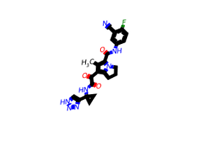 Cc1c(C(=O)C(=O)NC2(c3c[nH]nn3)CC2)c2n(c1C(=O)Nc1ccc(F)c(C#N)c1)CCC2